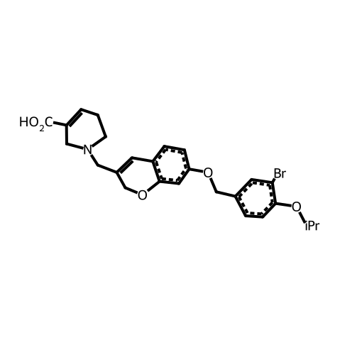 CC(C)Oc1ccc(COc2ccc3c(c2)OCC(CN2CCC=C(C(=O)O)C2)=C3)cc1Br